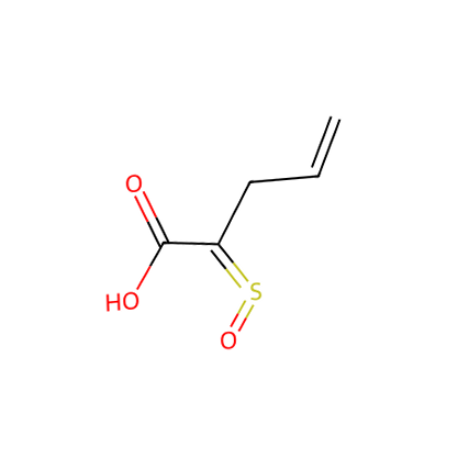 C=CCC(=S=O)C(=O)O